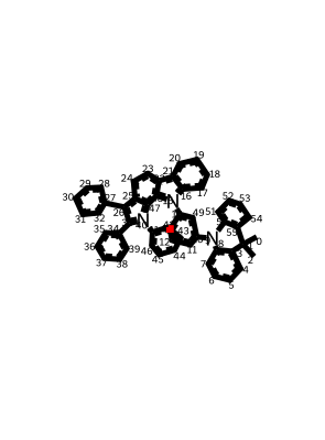 CC1(C)c2ccccc2N(c2cccc(-n3c4ccccc4c4ccc5c(-c6ccccc6)c(-c6ccccc6)n(-c6ccccc6)c5c43)c2)c2ccccc21